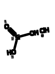 Cl.O=[Si](O)O